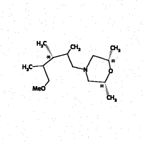 COCC(C)[C@H](C)C(C)CN1C[C@@H](C)O[C@@H](C)C1